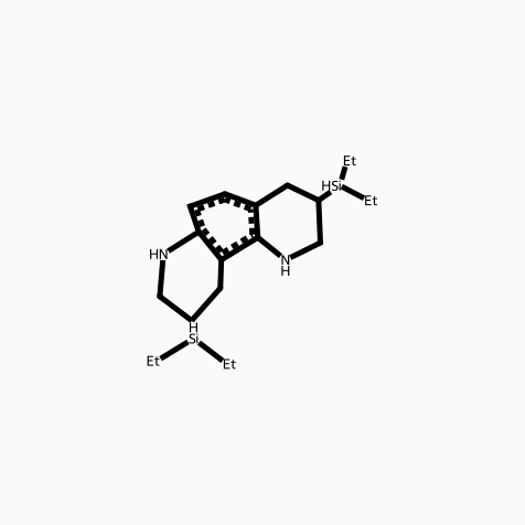 CC[SiH](CC)C1CNc2c(ccc3c2CC([SiH](CC)CC)CN3)C1